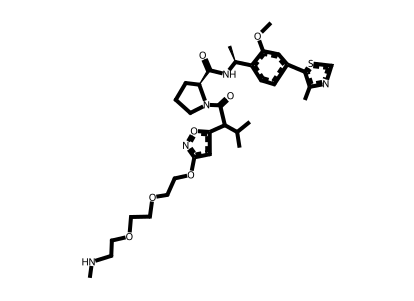 CNCCOCCOCCOc1cc(C(C(=O)N2CCC[C@H]2C(=O)N[C@@H](C)c2ccc(-c3scnc3C)cc2OC)C(C)C)on1